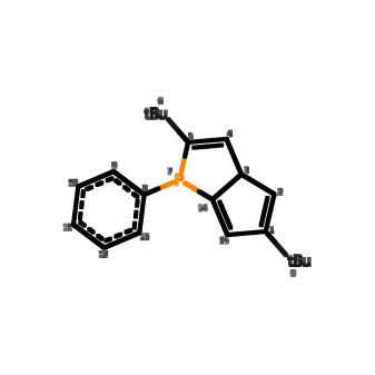 CC(C)(C)C1=CC2C=C(C(C)(C)C)P(c3ccccc3)C2=C1